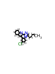 C/C=C\C=C/c1cnc2c3nc4ccccc4cc3c3cc(Cl)ccc3n12